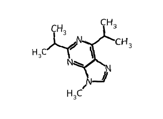 CC(C)c1nc(C(C)C)c2ncn(C)c2n1